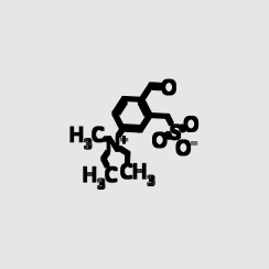 CC[N+](C)(CC)c1ccc(C=O)c(CS(=O)(=O)[O-])c1